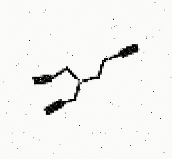 C#CCCN(CC#C)CC#C